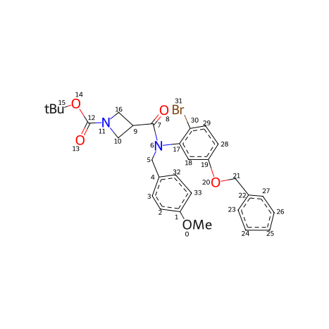 COc1ccc(CN(C(=O)C2CN(C(=O)OC(C)(C)C)C2)c2cc(OCc3ccccc3)ccc2Br)cc1